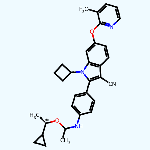 CC(Nc1ccc(-c2c(C#N)c3ccc(Oc4ncccc4C(F)(F)F)cc3n2C2CCC2)cc1)O[C@H](C)C1CC1